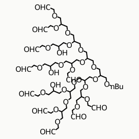 CCCCOCC(COCC(COCC(COCC(COCC=O)OCC=O)OCC(O)COCC=O)OCC(COCC(O)COCC=O)OCC=O)OCC(COCC(COCC(COCC=O)OCC=O)OCC(O)COCC=O)OCC(COCC=O)OCC=O